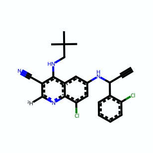 [2H]c1nc2c(Cl)cc(NC(C#C)c3ccccc3Cl)cc2c(NCC(C)(C)C)c1C#N